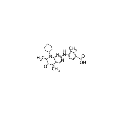 C=C1C(=O)N(C)c2cnc(Nc3ccc(C(=O)O)cc3C)nc2N1C1CCCCC1